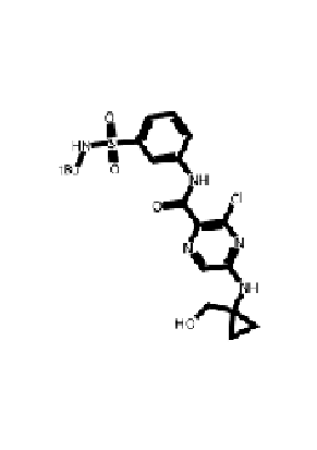 CC(C)(C)NS(=O)(=O)c1cccc(NC(=O)c2ncc(NC3(CO)CC3)nc2Cl)c1